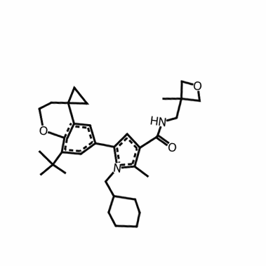 Cc1c(C(=O)NCC2(C)COC2)cc(-c2cc(C(C)(C)C)c3c(c2)C2(CCO3)CC2)n1CC1CCCCC1